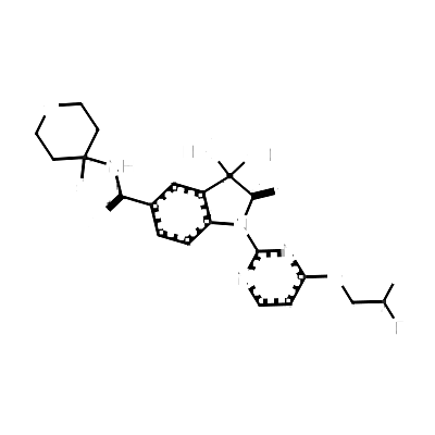 CC1(NC(=O)c2ccc3c(c2)C(C)(C)C(=O)N3c2nccc(OCC(F)F)n2)CCOCC1